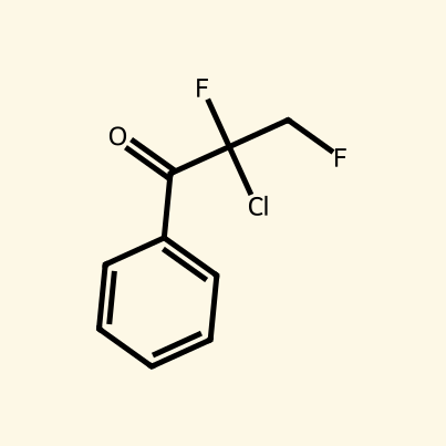 O=C(c1ccccc1)C(F)(Cl)CF